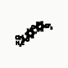 CC(CCl)Oc1ccc(Oc2ccc(C(F)(F)F)cn2)cc1